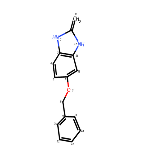 C=C1Nc2ccc(OCc3ccccc3)cc2N1